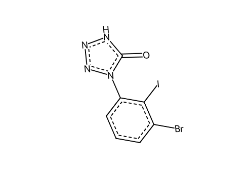 O=c1[nH]nnn1-c1cccc(Br)c1I